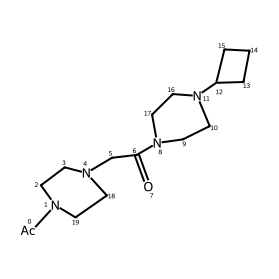 CC(=O)N1CCN(CC(=O)N2CCN(C3CCC3)CC2)CC1